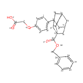 O=C(O)COc1ccc(C23CC4CC(CC(C(=O)OCc5ccccc5)(C4)C2)C3)cc1